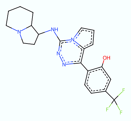 Oc1cc(C(F)(F)F)ccc1-c1nnc(NC2CCN3CCCCC23)n2cccc12